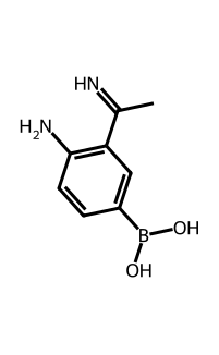 CC(=N)c1cc(B(O)O)ccc1N